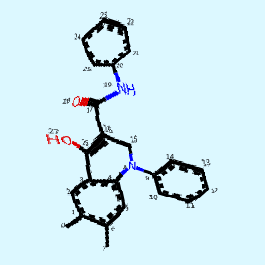 Cc1cc2c(cc1C)N(c1ccccc1)CC(C(=O)Nc1ccccc1)=C2O